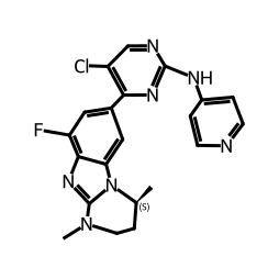 C[C@H]1CCN(C)c2nc3c(F)cc(-c4nc(Nc5ccncc5)ncc4Cl)cc3n21